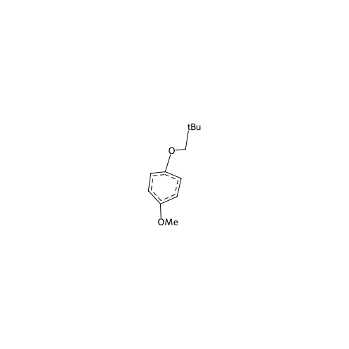 COc1ccc(OCC(C)(C)C)cc1